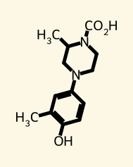 Cc1cc(N2CCN(C(=O)O)C(C)C2)ccc1O